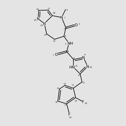 CN1C(=O)C(NC(=O)c2nnc(Cc3cccc(F)c3F)[nH]2)CCn2nccc21